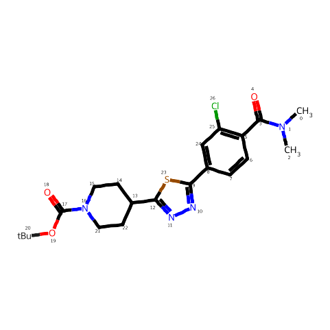 CN(C)C(=O)c1ccc(-c2nnc(C3CCN(C(=O)OC(C)(C)C)CC3)s2)cc1Cl